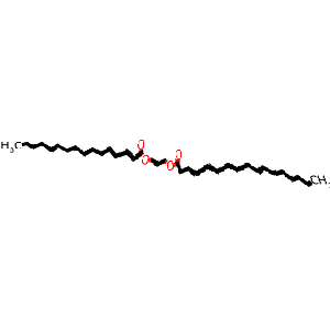 CCCCCCCCCCCCCCCCC(=O)OCCCOC(=O)CCCCCCCCCCCCCCC